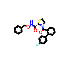 O=C(NOCc1ccccc1)[C@@H]1SCCN1C(=O)c1ccccc1-c1ccc(F)cc1